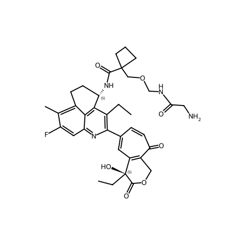 CCc1c(-c2ccc(=O)c3c(c2)[C@@](O)(CC)C(=O)OC3)nc2cc(F)c(C)c3c2c1[C@@H](NC(=O)C1(COCNC(=O)CN)CCC1)CC3